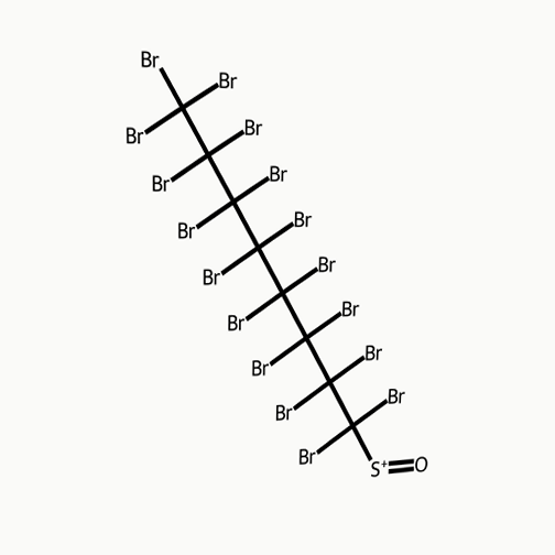 O=[S+]C(Br)(Br)C(Br)(Br)C(Br)(Br)C(Br)(Br)C(Br)(Br)C(Br)(Br)C(Br)(Br)C(Br)(Br)Br